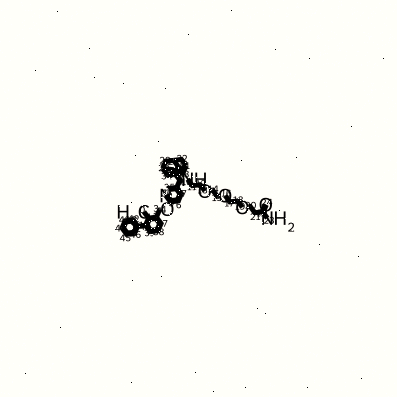 Cc1c(COc2ccc(C(NCCOCCOCCOCCC(N)=O)C34CC5CC(CC(C5)C3)C4)cn2)cccc1-c1ccccc1